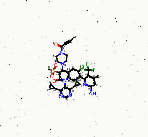 CC#CC(=O)N1CCN(c2c(S(C)(=O)=O)c(=O)n(-c3c(C4CC4)ncnc3C3CC3)c3c(F)c(-c4nc(N)cc(C)c4C(F)(F)F)c(Cl)cc23)CC1